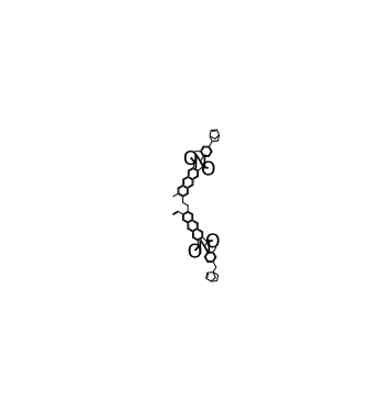 C=Cc1cc2cc3cc4c(cc3cc2cc1CCc1cc2cc3cc5c(cc3cc2cc1C)C(=O)N(c1ccc(C2CC3C=CC2C3)cc1C)C5=O)C(=O)N(c1ccc(CC23C=CC(CC2)C3)cc1C)C4=O